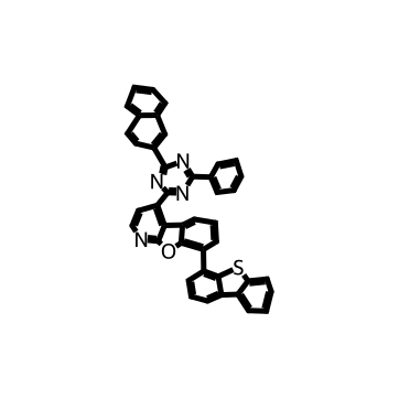 c1ccc(-c2nc(-c3ccc4ccccc4c3)nc(-c3ccnc4oc5c(-c6cccc7c6sc6ccccc67)cccc5c34)n2)cc1